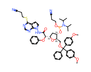 COc1ccc(C(OC[C@H]2O[C@H](C(Oc3ccccc3)C(=O)Nn3ccc4c(SCCC#N)ncnc43)C[C@@H]2OP(OCCC#N)N(C(C)C)C(C)C)(c2ccccc2)c2ccc(OC)cc2)cc1